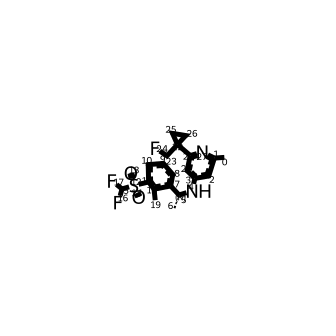 Cc1cc(N[C@H](C)c2cccc(S(=O)(=O)C(F)F)c2C)cc(C2(CF)CC2)n1